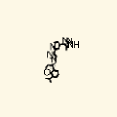 Cc1[nH]nnc1-c1ccnc(-c2cn(C[C@@H]3CCOc4c(C(C)C)cccc43)cn2)c1